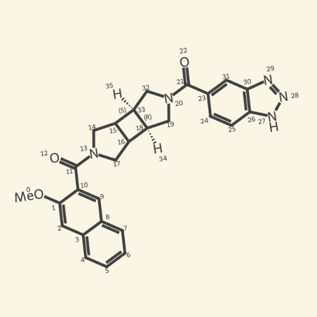 COc1cc2ccccc2cc1C(=O)N1CC2C(C1)[C@@H]1CN(C(=O)c3ccc4[nH]nnc4c3)C[C@H]21